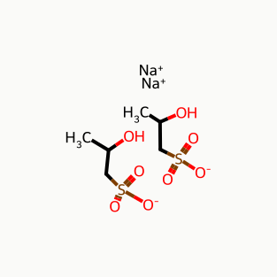 CC(O)CS(=O)(=O)[O-].CC(O)CS(=O)(=O)[O-].[Na+].[Na+]